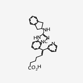 N#C/N=C(\Nc1cccc(/C(=C\CCCC(=O)O)c2cccnc2)c1)NC1Cc2ccccc2C1